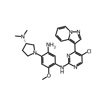 COc1cc(N2CC[C@H](N(C)C)C2)c(N)cc1Nc1ncc(Cl)c(-c2cnn3ccccc23)n1